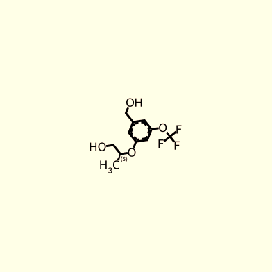 C[C@@H](CO)Oc1cc(CO)cc(OC(F)(F)F)c1